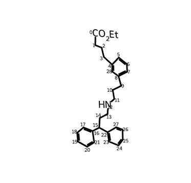 CCOC(=O)CCCc1cccc(CCCNCCC(c2ccccc2)c2ccccc2)c1